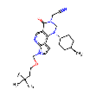 [CH2][C@H]1CC[C@H](N2CN(CC#N)C(=O)c3cnc4c(ccn4COCC[Si](C)(C)C)c32)CC1